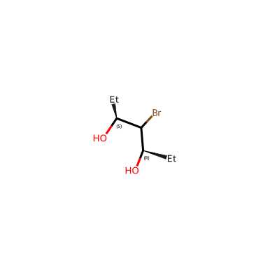 CC[C@@H](O)C(Br)[C@@H](O)CC